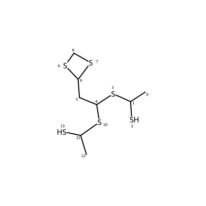 CC(S)SC(CC1SCS1)SC(C)S